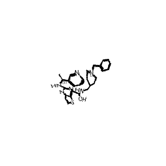 C[C@H](Nc1nc(C(O)NCC2CCN(Cc3ccccc3)CC2)c2sccc2n1)c1cccnc1